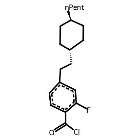 CCCCC[C@H]1CC[C@H](CCc2ccc(C(=O)Cl)c(F)c2)CC1